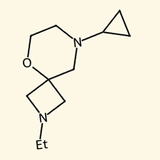 CCN1CC2(C1)CN(C1CC1)CCO2